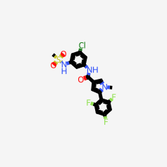 Cn1cc(C(=O)Nc2cc(Cl)cc(NS(C)(=O)=O)c2)cc1-c1c(F)cc(F)cc1F